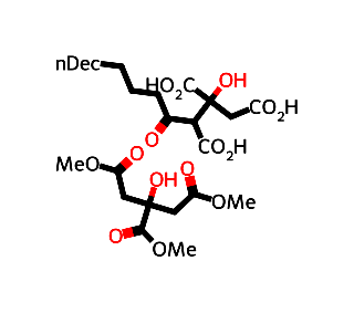 CCCCCCCCCCCCCC(=O)C(C(=O)O)C(O)(CC(=O)O)C(=O)O.COC(=O)CC(O)(CC(=O)OC)C(=O)OC